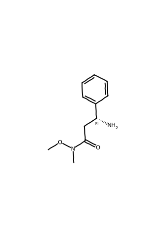 CON(C)C(=O)C[C@@H](N)c1ccccc1